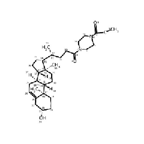 CCC(=O)N1CCN(C(=O)CC[C@@H](C)[C@H]2CC[C@H]3[C@@H]4CC=C5C[C@@H](O)CC[C@]5(C)[C@H]4CC[C@]23C)CC1